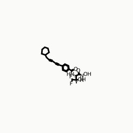 C[C@@](O)(C(F)F)[C@H](NC(=O)c1ccc(C#CC#CCC2CCCCC2)cc1)C(=O)NO